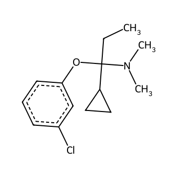 CCC(Oc1cccc(Cl)c1)(C1CC1)N(C)C